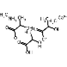 CC(O)C(=O)O.CC(O)C(=O)[O-].CC(O)C(=O)[O-].N.O.O.[Ca+2]